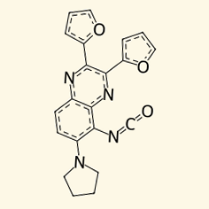 O=C=Nc1c(N2CCCC2)ccc2nc(-c3ccco3)c(-c3ccco3)nc12